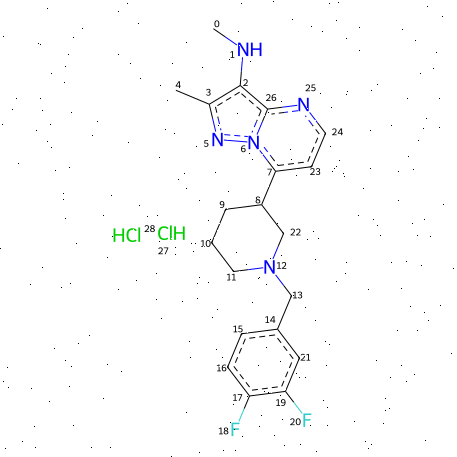 CNc1c(C)nn2c(C3CCCN(Cc4ccc(F)c(F)c4)C3)ccnc12.Cl.Cl